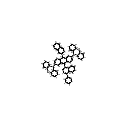 c1ccc(-c2ccc(-c3c4ccc(N5c6ccccc6Sc6ccccc65)cc4c(-c4ccc5ccccc5c4)c4ccc(N5c6ccccc6Sc6ccccc65)cc34)c3ccccc23)cc1